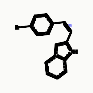 Brc1ccc(/C=C\c2cc3ccccc3[nH]2)cc1